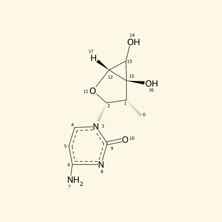 C[C@@H]1[C@H](n2ccc(N)nc2=O)O[C@@H]2C(O)[C@@]21O